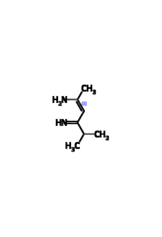 C/C(N)=C/C(=N)C(C)C